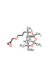 CO[Si](C)(C)O[Si](C)(C)O[Si](C)(C)O[Si](C)(CCCOCC1CO1)OC